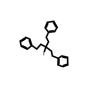 IC(CCc1ccccc1)(CCc1ccccc1)CCc1ccccc1